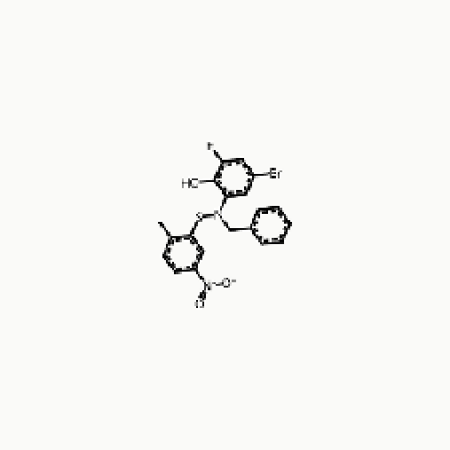 Cc1ccc([N+](=O)[O-])cc1SN(Cc1ccccc1)c1cc(Br)cc(F)c1O